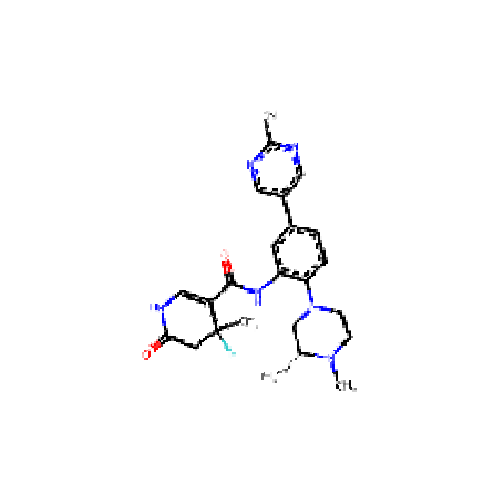 C[C@@H]1CN(c2ccc(-c3cnc(C#N)nc3)cc2NC(=O)C2=CNC(=O)CC2(F)C(F)(F)F)CCN1C